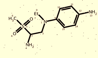 CCN(CC(N)S(C)(=O)=O)c1ccc(N)cc1